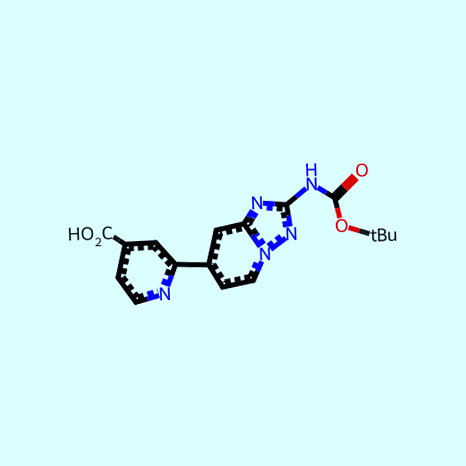 CC(C)(C)OC(=O)Nc1nc2cc(-c3cc(C(=O)O)ccn3)ccn2n1